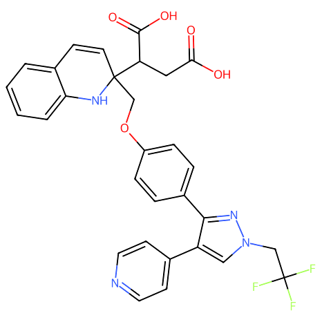 O=C(O)CC(C(=O)O)C1(COc2ccc(-c3nn(CC(F)(F)F)cc3-c3ccncc3)cc2)C=Cc2ccccc2N1